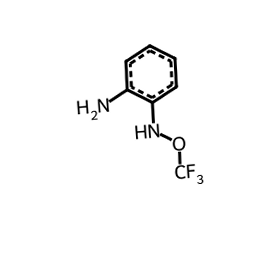 Nc1ccccc1NOC(F)(F)F